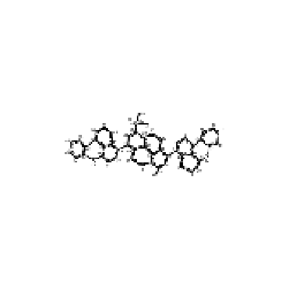 Cc1cc(-c2ccc3c4c(cccc24)Sc2ccccc2-3)c2ccc3c([Si](C)(C)C)cc(-c4ccc5c6c(cccc46)-c4ccccc4S5)c4ccc1c2c43